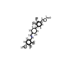 CCOCc1ccc(C2CCC(/C=C/c3ccc(OC)c(F)c3F)CC2)c(F)c1F